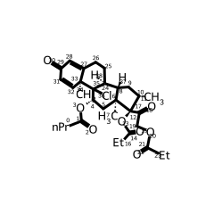 CCCC(=O)O[C@H]1C[C@@]2(C)[C@@H](C[C@H](C)[C@]2(OC(=O)CC)C(=O)COC(=O)CC)[C@@H]2CCC3=CC(=O)C=C[C@]3(C)C12Cl